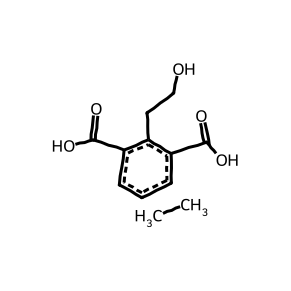 CC.O=C(O)c1cccc(C(=O)O)c1CCO